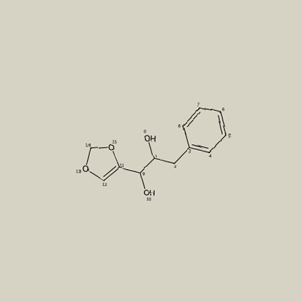 OC(Cc1ccccc1)C(O)C1=COCO1